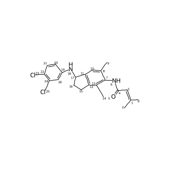 CC(C)=CC(=O)Nc1c(C)cc2c(c1C)CCC2Nc1ccc(Cl)c(Cl)c1